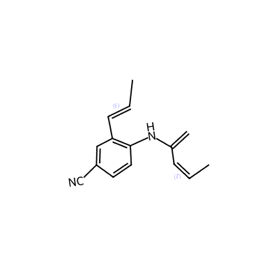 C=C(/C=C\C)Nc1ccc(C#N)cc1/C=C/C